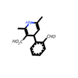 CC1=CC(c2ccccc2C=O)C(C(=O)O)=C(C)N1